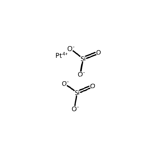 O=[Si]([O-])[O-].O=[Si]([O-])[O-].[Pt+4]